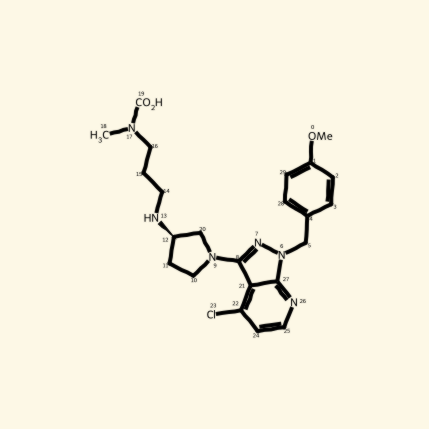 COc1ccc(Cn2nc(N3CC[C@@H](NCCCN(C)C(=O)O)C3)c3c(Cl)ccnc32)cc1